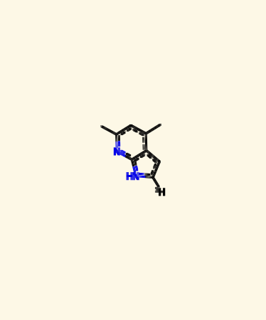 [3H]c1cc2c(C)cc(C)nc2[nH]1